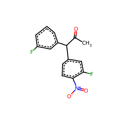 CC(=O)C(c1cccc(F)c1)c1ccc([N+](=O)[O-])c(F)c1